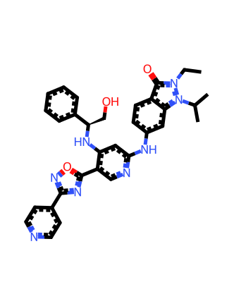 CCn1c(=O)c2ccc(Nc3cc(N[C@H](CO)c4ccccc4)c(-c4nc(-c5ccncc5)no4)cn3)cc2n1C(C)C